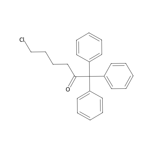 O=C(CCCCCl)C(c1ccccc1)(c1ccccc1)c1ccccc1